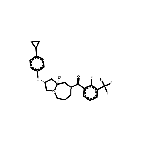 O=C(c1cccc(C(F)(F)F)c1F)N1CCCN2C[C@H](Oc3cnc(C4CC4)cn3)C[C@H]2C1